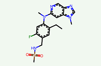 CCc1cc(CNS(C)(=O)=O)c(F)cc1N(C)c1cc2c(cn1)ncn2C